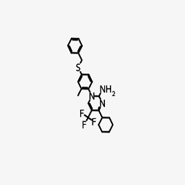 Cc1cc(SCc2ccccc2)ccc1N1C=C(C(F)(F)F)C(C2CCCCC2)=NC1N